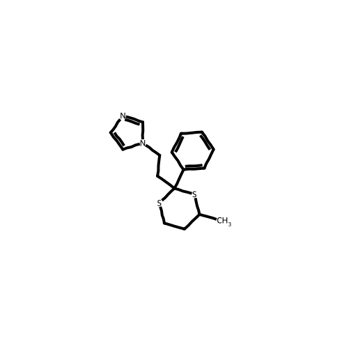 CC1CCSC(CCn2ccnc2)(c2ccccc2)S1